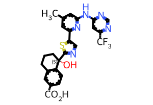 Cc1cc(Nc2cc(C(F)(F)F)ncn2)nc(-c2cnc([C@]3(O)CCCc4cc(C(=O)O)ccc43)s2)c1